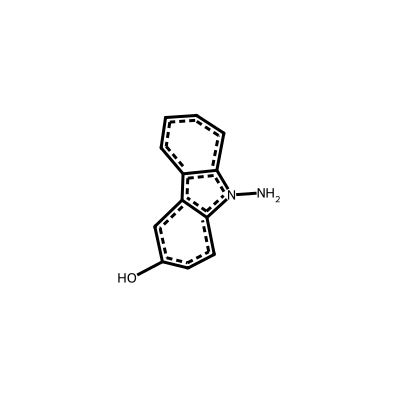 Nn1c2ccccc2c2cc(O)ccc21